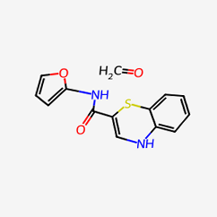 C=O.O=C(Nc1ccco1)C1=CNc2ccccc2S1